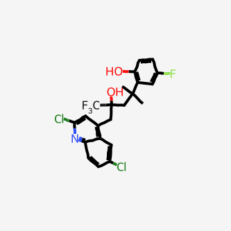 CC(C)(CC(O)(Cc1cc(Cl)nc2ccc(Cl)cc12)C(F)(F)F)c1cc(F)ccc1O